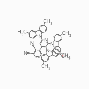 Cc1ccc2c(c1)c1cc(C)ccc1n2-c1cc(-c2cccc(C#N)c2C#N)c(-n2c3ccc(C)cc3c3cc(C)ccc32)c(-n2c3ccc(C)cc3c3cc(C)ccc32)n1